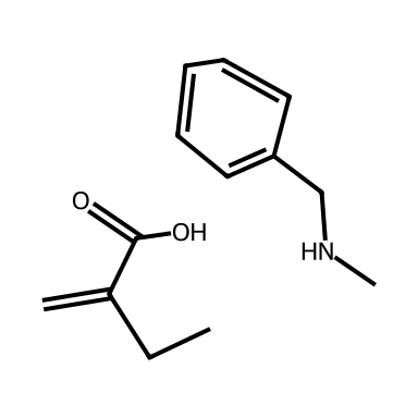 C=C(CC)C(=O)O.CNCc1ccccc1